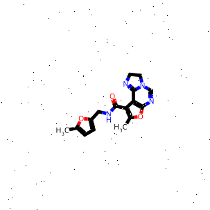 Cc1ccc(CNC(=O)c2c(C)oc3c2C2=NCCN2C=N3)o1